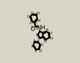 O=C(N[C@@H]1C[C@@H](c2ccccc2)c2ccccc21)c1ccccc1